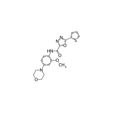 COc1cc(N2CCOCC2)ccc1NC(=O)c1nnc(-c2cccs2)o1